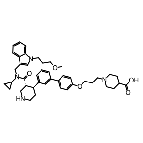 COCCCn1cc(CN(C(=O)[C@H]2CNCC[C@@H]2c2cccc(-c3ccc(OCCCN4CCC(C(=O)O)CC4)cc3)c2)C2CC2)c2ccccc21